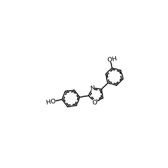 Oc1ccc(-c2nc(-c3cccc(O)c3)co2)cc1